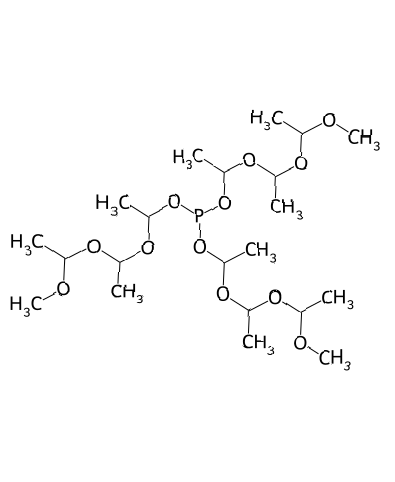 COC(C)OC(C)OC(C)OP(OC(C)OC(C)OC(C)OC)OC(C)OC(C)OC(C)OC